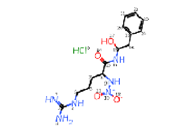 Cl.N=C(N)NCCCC(N[N+](=O)[O-])C(=O)NC(O)Cc1ccccc1